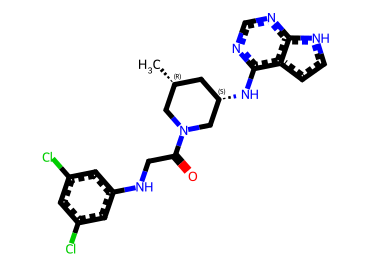 C[C@@H]1C[C@H](Nc2ncnc3[nH]ccc23)CN(C(=O)CNc2cc(Cl)cc(Cl)c2)C1